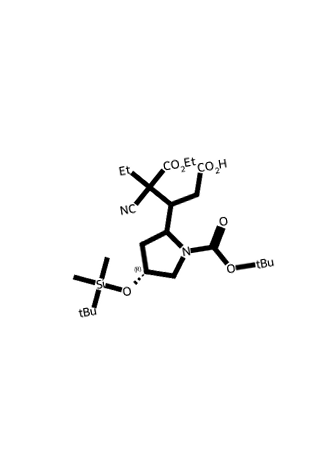 CCOC(=O)C(C#N)(CC)C(CC(=O)O)C1C[C@@H](O[Si](C)(C)C(C)(C)C)CN1C(=O)OC(C)(C)C